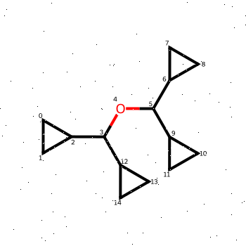 C1CC1C(OC(C1CC1)C1CC1)C1CC1